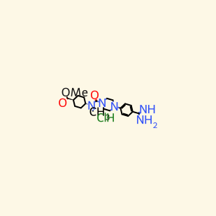 COC(=O)[C@H]1CC[C@H](N(C)C(=O)N2CCN(c3ccc(C(=N)N)cc3)CC2)CC1.Cl